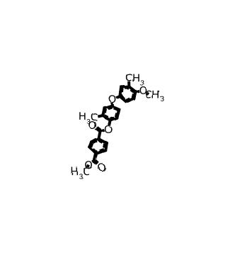 COC(=O)c1ccc(C(=O)Oc2ccc(Oc3ccc(OC)c(C)c3)cc2C)cc1